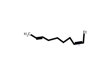 [CH2]C/C=C\CCCCC=CC